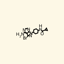 Nc1ncnc2c1c(Br)nn2C1CCC(NC(=O)C2CC2)CC1